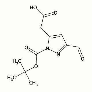 CC(C)(C)OC(=O)n1nc(C=O)cc1CC(=O)O